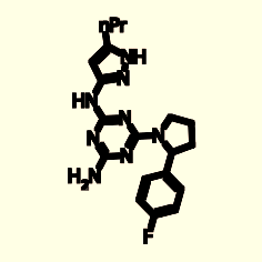 CCCc1cc(Nc2nc(N)nc(N3CCCC3c3ccc(F)cc3)n2)n[nH]1